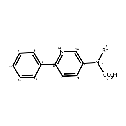 O=C(O)N(Br)c1ccc(-c2ccccc2)nc1